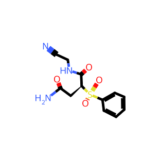 N#CCNC(=O)[C@H](CC(N)=O)S(=O)(=O)c1ccccc1